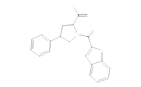 NC(=O)C1CC(c2ccccc2)CN1C(=O)c1cc2ccccc2[nH]1